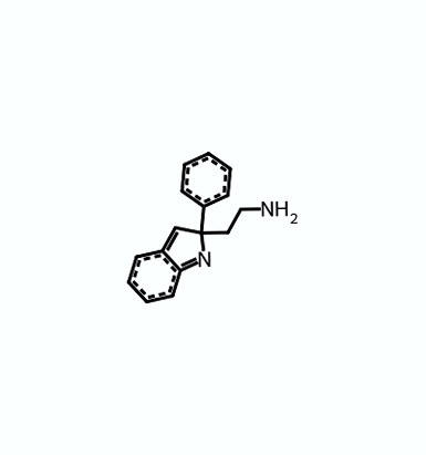 NCCC1(c2ccccc2)C=c2ccccc2=N1